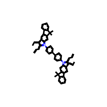 C=C/C=c1\c(=C/C)c2cc3c(cc2n1-c1ccc(-c2ccc(-n4c(=C/C=C)/c(=C\C)c5cc6c(cc54)C(C)(C)c4ccccc4-6)cc2)cc1)C(C)(C)c1ccccc1-3